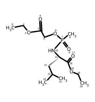 CCOC(=O)COP(C)(=O)N[C@@H](CC(C)C)C(=O)OCC